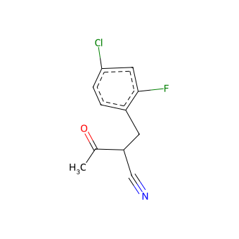 CC(=O)C(C#N)Cc1ccc(Cl)cc1F